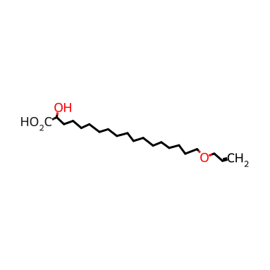 C=CCOCCCCCCCCCCCCCCCCC(O)C(=O)O